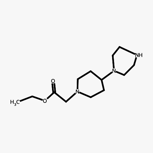 CCOC(=O)CN1CCC(N2CCNCC2)CC1